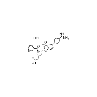 COC(=O)C[C@@H]1C[C@@H](COc2ccc(-c3ccc(C(=N)N)cc3)cc2S(C)(=O)=O)N(C(=O)c2cccnc2)C1.Cl